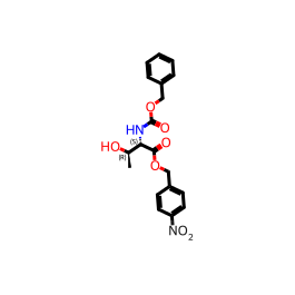 C[C@@H](O)[C@H](NC(=O)OCc1ccccc1)C(=O)OCc1ccc([N+](=O)[O-])cc1